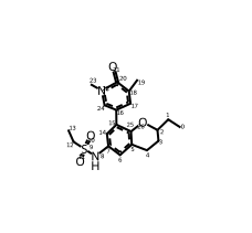 CCC1CCc2cc(NS(=O)(=O)CC)cc(-c3cc(C)c(=O)n(C)c3)c2O1